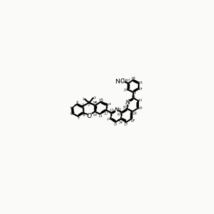 CC1(C)c2ccccc2Oc2cc(-c3ccc4ccc5ccc(-c6cccc(C#N)c6)nc5c4n3)ccc21